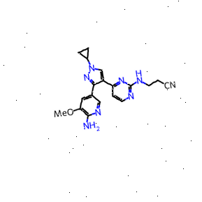 COc1cc(-c2nn(C3CC3)cc2-c2ccnc(NCCC#N)n2)cnc1N